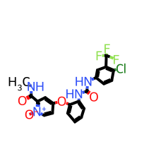 CNC(=O)c1cc(Oc2ccccc2NC(=O)Nc2ccc(Cl)c(C(F)(F)F)c2)cc[n+]1[O-]